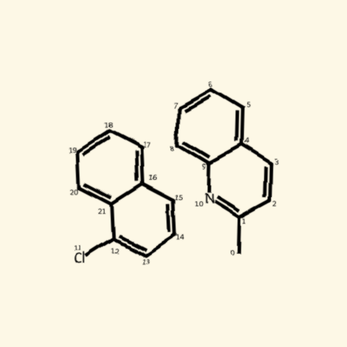 Cc1ccc2ccccc2n1.Clc1cccc2ccccc12